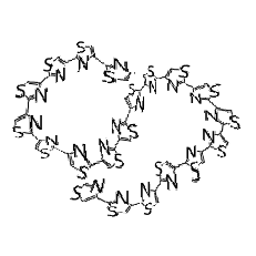 [c]1csc(-c2csc(-c3csc(-c4csc(-c5csc(-c6csc(-c7csc(-c8csc(-c9csc(-c%10csc(-c%11csc(-c%12csc(-c%13csc(-c%14csc(-c%15csc(-c%16csc(-c%17csc(-c%18csc(-c%19csc(-c%20cscn%20)n%19)n%18)n%17)n%16)n%15)n%14)n%13)n%12)n%11)n%10)n9)n8)n7)n6)n5)n4)n3)n2)n1